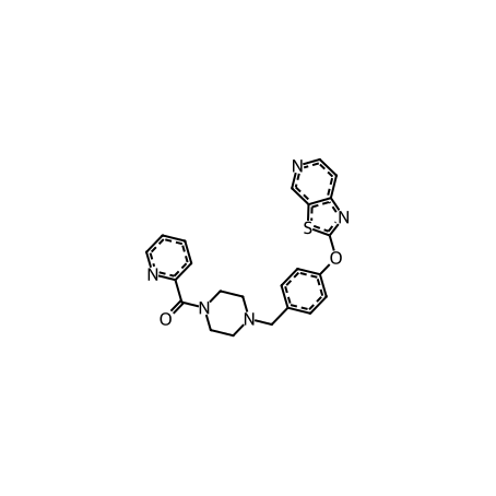 O=C(c1ccccn1)N1CCN(Cc2ccc(Oc3nc4ccncc4s3)cc2)CC1